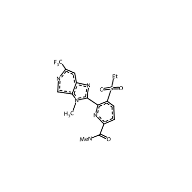 CCS(=O)(=O)c1ccc(C(=O)NC)nc1-c1nc2cc(C(F)(F)F)ncc2n1C